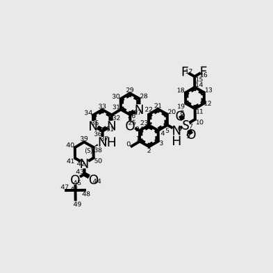 Cc1ccc2c(NS(=O)(=O)Cc3ccc(C(F)F)cc3)cccc2c1Oc1ncccc1-c1ccnc(N[C@H]2CCCN(C(=O)OC(C)(C)C)C2)n1